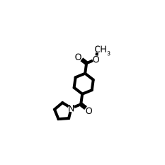 COC(=O)C1CCC(C(=O)N2CCCC2)CC1